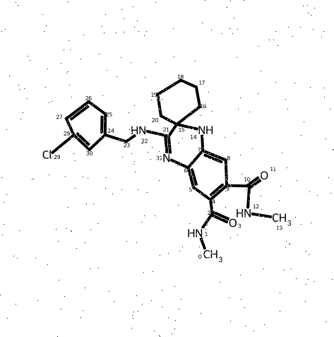 CNC(=O)c1cc2c(cc1C(=O)NC)NC1(CCCCC1)C(NCc1cccc(Cl)c1)=N2